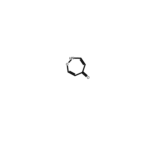 O=C1C=CNOC=C1